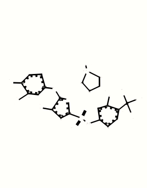 Cc1ccc(Sc2sc(S(=O)(=O)Nc3ccc(C(F)(F)F)c(O[C@@H]4CCN(C)C4)c3)cc2Br)cc1C